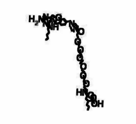 CCCCCNc1nc(N)nc2ccn(Cc3ccc(CN4CCN(C(=O)CCOCCOCCOCCOCCOCCOCCNC(=O)CC(CCC)C(=O)O)CC4)cc3OC)c12